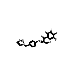 O=[C]C(=CNc1ccc(Cn2ccnn2)cc1)C(=O)c1cc(F)c(F)c(F)c1F